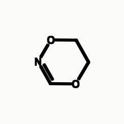 C1=NOCCO1